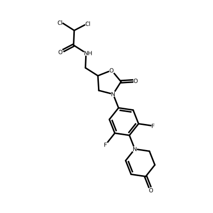 O=C1C=CN(c2c(F)cc(N3CC(CNC(=O)C(Cl)Cl)OC3=O)cc2F)CC1